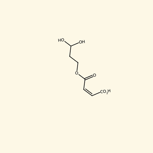 O=C(O)/C=C\C(=O)OCCC(O)O